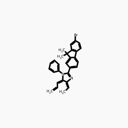 C=C/C=c1\c(=C/C)nc(-c2ccc3c(c2)C(C)(C)c2cc(Br)ccc2-3)n1-c1ccccc1